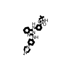 CN1CCN(c2ccc(Nc3nc(Nc4cccc(S(=O)(=O)NC(C)(C)C)c4)c4ccccc4n3)cc2)CC1